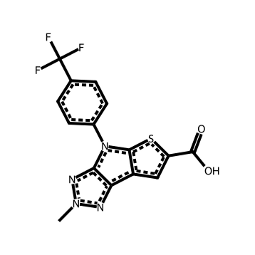 Cn1nc2c3cc(C(=O)O)sc3n(-c3ccc(C(F)(F)F)cc3)c2n1